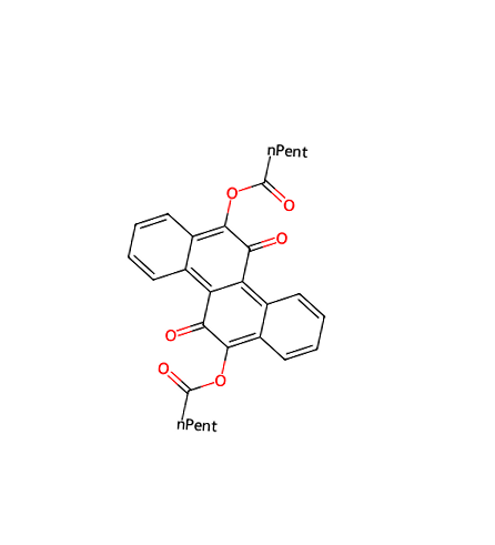 CCCCCC(=O)OC1=c2ccccc2=C2C(=O)C(OC(=O)CCCCC)=c3ccccc3=C2C1=O